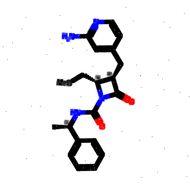 COC[C@@H]1[C@@H](Cc2ccnc(N)c2)C(=O)N1C(=O)N[C@H](C)c1ccccc1